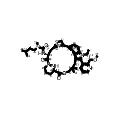 CCn1c(-c2cccnc2[C@H](C)OC)c2c3cc(ccc31)C1CSC(=N1)C[C@H](NC(=O)N(C)CCC(C)C)C(=O)N1CCC[C@H](N1)C(=O)OCC(C)(C)C2